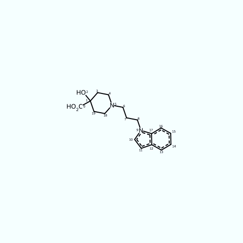 O=C(O)C1(O)CCN(CCCn2ccc3ccccc32)CC1